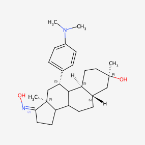 CN(C)c1ccc([C@H]2C[C@]3(C)/C(=N\O)CCC3C3CC[C@H]4C[C@](C)(O)CC[C@@H]4C32)cc1